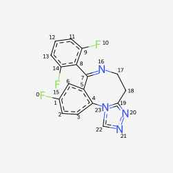 Fc1ccc2c(c1)C(c1c(F)cccc1F)=NCCc1nncn1-2